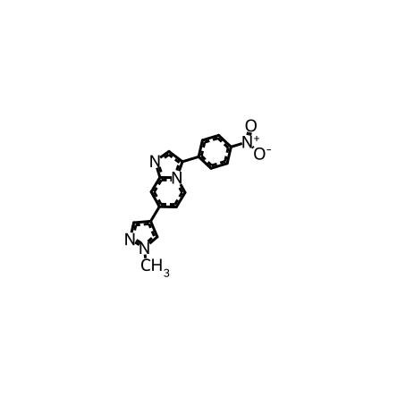 Cn1cc(-c2ccn3c(-c4ccc([N+](=O)[O-])cc4)cnc3c2)cn1